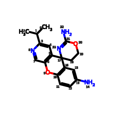 CC(C)c1cc2c(cn1)Oc1ccc(N)cc1C21CCOC(N)=N1